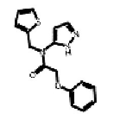 O=C(COc1ccccc1)N(Cc1cccs1)c1ccn[nH]1